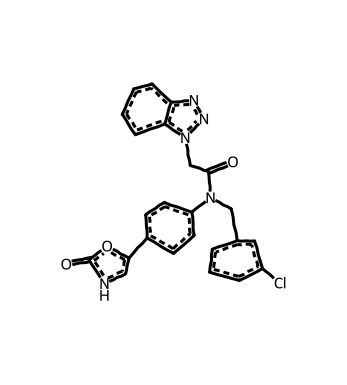 O=C(Cn1nnc2ccccc21)N(Cc1cccc(Cl)c1)c1ccc(-c2c[nH]c(=O)o2)cc1